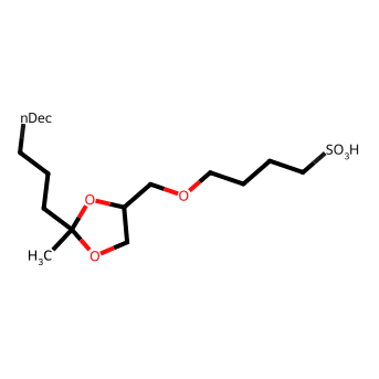 CCCCCCCCCCCCCC1(C)OCC(COCCCCS(=O)(=O)O)O1